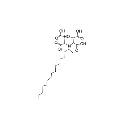 CCCCCCCCCCCCCCC(C)N(C(CC(=O)O)C(=O)O)C(C(=O)O)C(O)C(=O)O